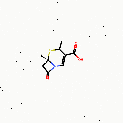 CC1S[C@@H]2CC(=O)N2C=C1C(=O)O